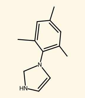 Cc1cc(C)c(N2C=CNC2)c(C)c1